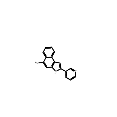 Oc1cc2[nH]c(-c3cccnc3)nc2c2ccccc12